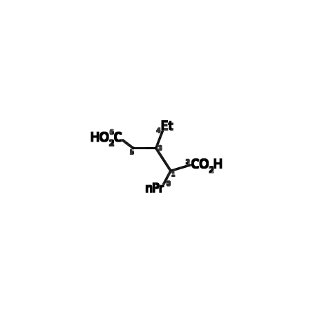 CCCC(C(=O)O)C(CC)CC(=O)O